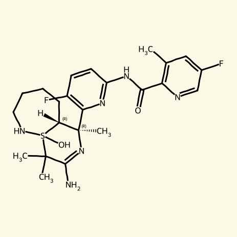 Cc1cc(F)cnc1C(=O)Nc1ccc(F)c([C@@]2(C)N=C(N)C(C)(C)S3(O)NCCCC[C@H]23)n1